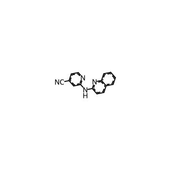 N#Cc1ccnc(Nc2ccc3ccccc3n2)c1